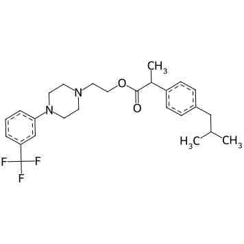 CC(C)Cc1ccc(C(C)C(=O)OCCN2CCN(c3cccc(C(F)(F)F)c3)CC2)cc1